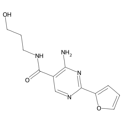 Nc1nc(-c2ccco2)ncc1C(=O)NCCCO